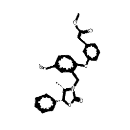 COC(=O)Cc1cccc(Oc2ccc(Br)cc2CN2C(=O)O[C@H](c3ccccc3)[C@@H]2C)c1